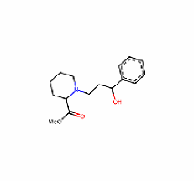 COC(=O)C1CCCCN1CCC(O)c1ccccc1